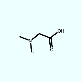 [CH2]N([CH2])CC(=O)O